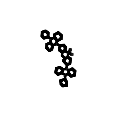 O=S1(=O)c2ccc(N3c4ccccc4N(c4ccccc4)c4ccccc43)cc2Cc2cc(N3c4ccccc4N(c4ccccc4)c4ccccc43)ccc21